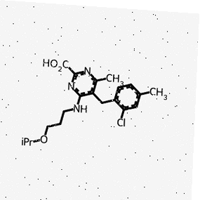 Cc1ccc(Cc2c(C)nc(C(=O)O)nc2NCCCOC(C)C)c(Cl)c1